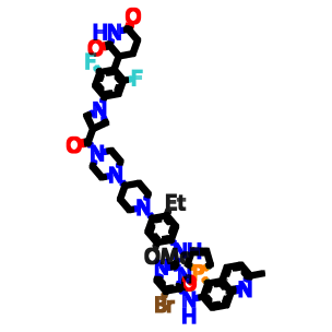 CCc1cc(Nc2ncc(Br)c(Nc3ccc4nc(C)ccc4c3P3(=O)CC=CC3)n2)c(OC)cc1N1CCC(N2CCN(C(=O)C3CN(c4cc(F)c(C5CCC(=O)NC5=O)c(F)c4)C3)CC2)CC1